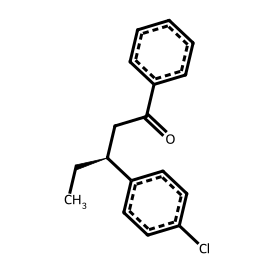 CC[C@@H](CC(=O)c1ccccc1)c1ccc(Cl)cc1